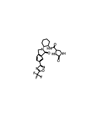 O=C1NCC(C(=O)N[C@@H]2CCCC[C@H]2N2Cc3ccc(-c4noc(C(F)(F)F)n4)cc3C2=O)N1